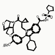 COc1ccc(-c2c(C3CCCCC3)c3ccc(C(=O)NS(=O)(=O)C4CCCC4)cc3n2CC2(C(=O)N3C4COCC45COCC35)CC2)cc1